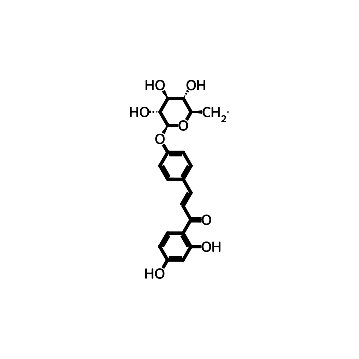 [CH2][C@H]1O[C@@H](Oc2ccc(/C=C/C(=O)c3ccc(O)cc3O)cc2)[C@H](O)[C@@H](O)[C@@H]1O